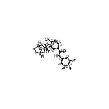 C=CCC1(O)C[C@@H]2CC[C@@H](C1)C2S(=O)(=O)c1cc(C(=O)Nc2cc(F)c(F)c(F)c2)ccc1Cl